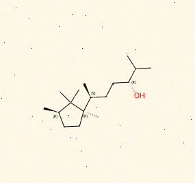 CC(C)[C@H](O)CC[C@H](C)[C@@]1(C)CC[C@@H](C)C1(C)C